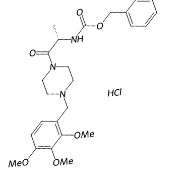 COc1ccc(CN2CCN(C(=O)[C@H](C)NC(=O)OCc3ccccc3)CC2)c(OC)c1OC.Cl